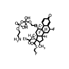 CCC(=O)O[C@]1(C(=O)SCF)[C@H](C)C[C@H]2[C@@H]3C[C@H](F)C4=CC(=O)C=C[C@]4(C)[C@@]3(F)[C@@H](OCOP(=O)(O)OP(=O)(O)OCCN)C[C@@]21C